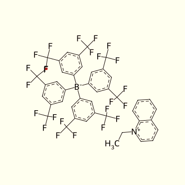 CC[n+]1cccc2ccccc21.FC(F)(F)c1cc([B-](c2cc(C(F)(F)F)cc(C(F)(F)F)c2)(c2cc(C(F)(F)F)cc(C(F)(F)F)c2)c2cc(C(F)(F)F)cc(C(F)(F)F)c2)cc(C(F)(F)F)c1